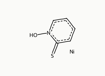 On1ccccc1=S.[Ni]